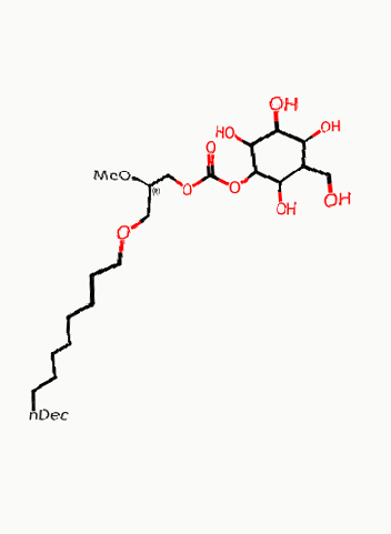 CCCCCCCCCCCCCCCCCCOC[C@H](COC(=O)OC1C(O)C(O)C(O)C(CO)C1O)OC